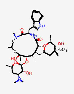 CO[C@]1(C)C[C@H](C[C@H]2[C@H](C)[C@@H](O[C@@H]3O[C@H](C)C[C@H](N(C)C)[C@H]3O)[C@](C)(O)C[C@@H](C)CN(C)C(=O)[C@H](Cc3c[nH]c4ccccc34)NC(=O)[C@@H]2C)O[C@@H](C)[C@@H]1O